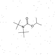 CC(C)OC(=O)N(C(C)(C)C)C(C)(C)C